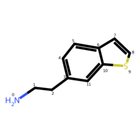 NCCc1ccc2ccsc2c1